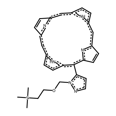 C[Si](C)(C)CCOCn1nccc1-c1c2nc(cc3ccc(cc4nc(cc5ccc1[nH]5)C=C4)[nH]3)C=C2